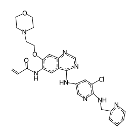 C=CC(=O)Nc1cc2c(Nc3cnc(NCc4ccccn4)c(Cl)c3)ncnc2cc1OCCN1CCOCC1